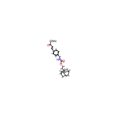 COC(=O)/C=C/c1ccc(CNC(=O)OCCC23CC4CC(CC(C4)C2)C3)cc1